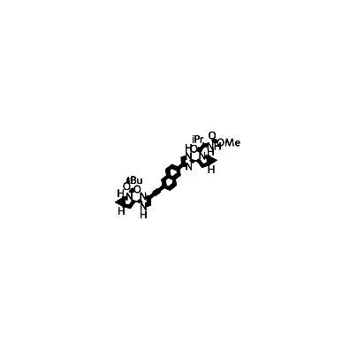 COC(=O)N[C@H](C(=O)N1[C@@H]2C[C@@H]2C[C@H]1c1nc(-c2ccc3cc(C#Cc4c[nH]c([C@H]5C[C@H]6C[C@H]6N5C(=O)OC(C)(C)C)n4)ccc3c2)c[nH]1)C(C)C